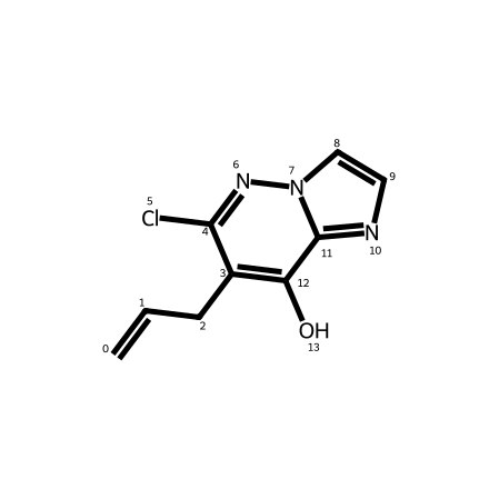 C=CCc1c(Cl)nn2ccnc2c1O